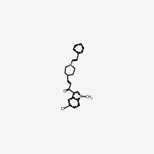 Cn1cc(C(=O)C=CC2CCN(C=Cc3ccccc3)CC2)c2cc(Cl)ccc21